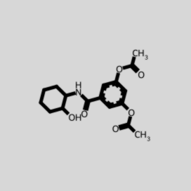 CC(=O)Oc1cc(OC(C)=O)cc(C(=O)NC2CCCCC2O)c1